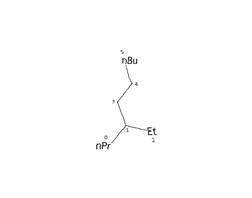 [CH2]CCC(CC)CCCCCC